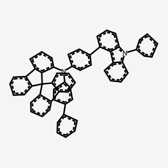 c1ccc(-c2ccc(N(c3ccc(-c4cccc5c4c4ccccc4n5-c4ccccc4)cc3)c3cccc4c3C3(c5ccccc5-c5ccccc53)c3ccccc3-4)cc2)cc1